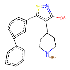 Br.Oc1nsc(-c2cccc(-c3ccccc3)c2)c1C1CCNCC1